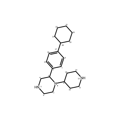 c1cc(C2CNCCN2C2CCNCC2)ccc1C1CCCCC1